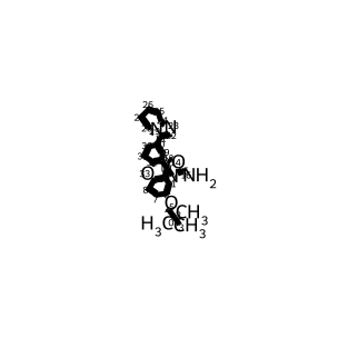 CC(C)(C)COc1ccc2c(c1)[C@]1(COC(N)=N1)c1cc(-c3cnc4ccccn34)ccc1O2